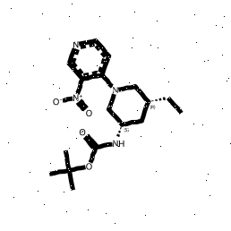 CC[C@@H]1C[C@H](NC(=O)OC(C)(C)C)CN(c2ccncc2[N+](=O)[O-])C1